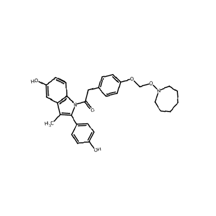 Cc1c(-c2ccc(O)cc2)n(C(=O)Cc2ccc(OCON3CCCCCC3)cc2)c2ccc(O)cc12